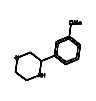 COc1cccc(C2C[N]CCN2)c1